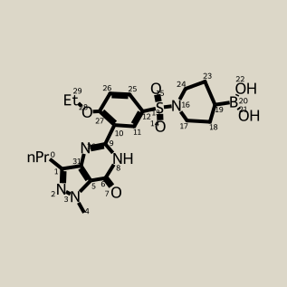 CCCc1nn(C)c2c(=O)[nH]c(-c3cc(S(=O)(=O)N4CCC(B(O)O)CC4)ccc3OCC)nc12